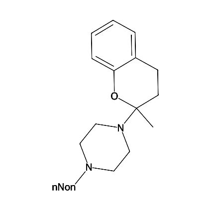 CCCCCCCCCN1CCN(C2(C)CCc3ccccc3O2)CC1